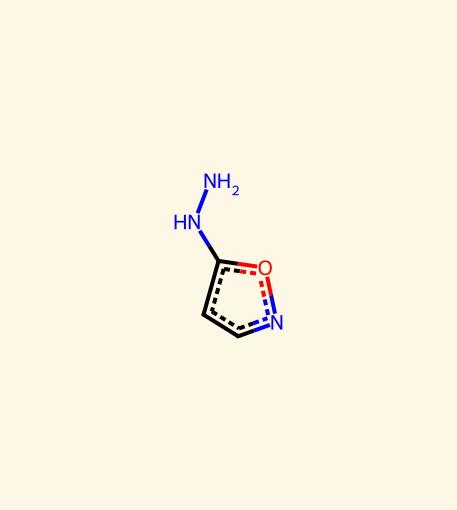 NNc1ccno1